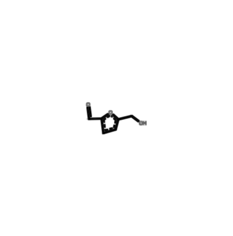 O=[C]c1ccc(CO)o1